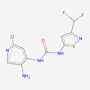 Nc1cnc(Cl)cc1NC(=O)Nc1cc(C(F)F)ns1